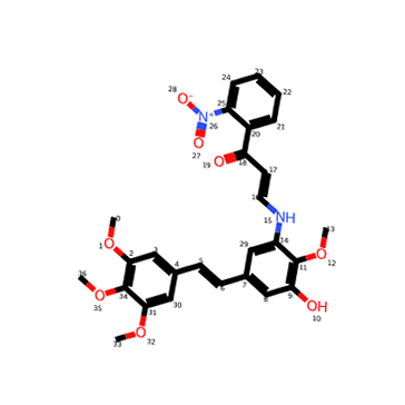 COc1cc(C=Cc2cc(O)c(OC)c(NC=CC(=O)c3ccccc3[N+](=O)[O-])c2)cc(OC)c1OC